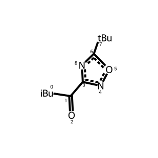 CCC(C)C(=O)c1noc(C(C)(C)C)n1